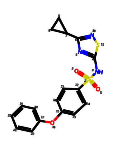 O=S(=O)(Nc1nc(C2CC2)ns1)c1ccc(Oc2ccccc2)cc1